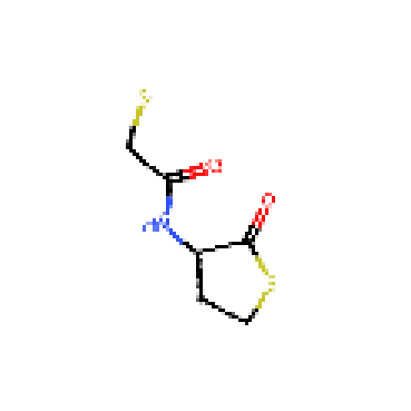 O=C(C[S])NC1CCSC1=O